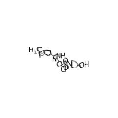 Cc1ccc(-c2c[nH]c(-c3ccc(Cl)c(S(=O)(=O)N4CCC(O)CC4)c3)n2)cc1F